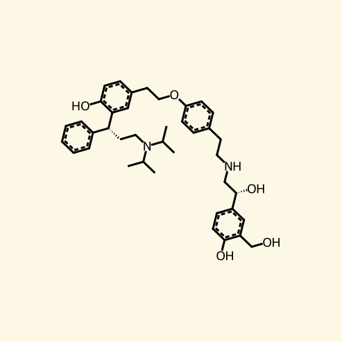 CC(C)N(CC[C@H](c1ccccc1)c1cc(CCOc2ccc(CCNC[C@H](O)c3ccc(O)c(CO)c3)cc2)ccc1O)C(C)C